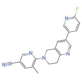 Cc1cc(C#N)cnc1N1CCc2ncc(-c3ccc(F)nc3)cc2C1